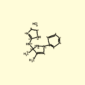 CC1=CN(c2ccccc2)NC1(C)NC1=NCCN1.Cl